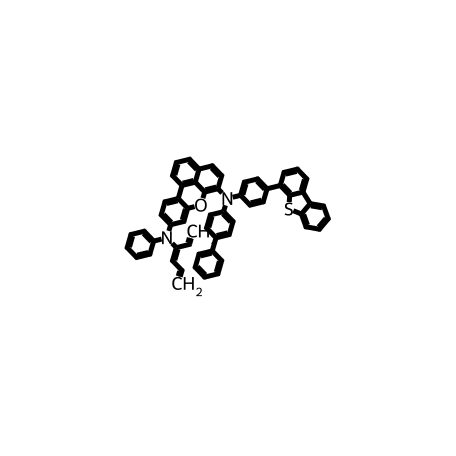 C=C/C=C(\C=C)N(c1ccccc1)c1ccc2c(c1)Oc1c(N(c3ccc(-c4ccccc4)cc3)c3ccc(-c4cccc5c4sc4ccccc45)cc3)ccc3cccc-2c13